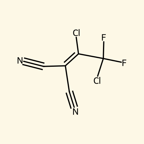 N#CC(C#N)=C(Cl)C(F)(F)Cl